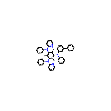 Cc1c(N(c2ccccc2)c2cccc(-c3ccccc3)c2)c(C)c(N(c2ccccc2)c2ccccn2)c(C)c1N(c1ccccc1)c1ccccn1